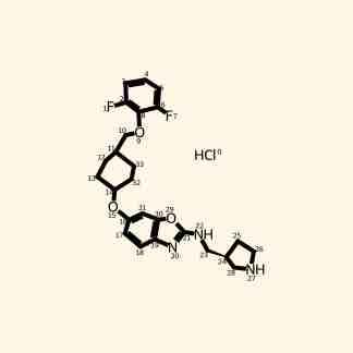 Cl.Fc1cccc(F)c1OCC1CCC(Oc2ccc3nc(NC[C@H]4CCNC4)oc3c2)CC1